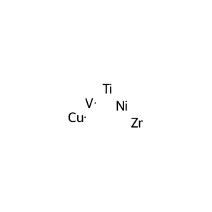 [Cu].[Ni].[Ti].[V].[Zr]